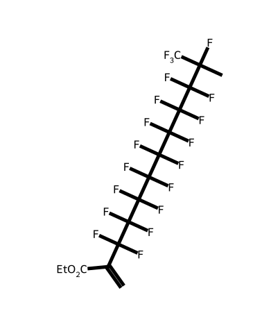 C=C(C(=O)OCC)C(F)(F)C(F)(F)C(F)(F)C(F)(F)C(F)(F)C(F)(F)C(F)(F)C(F)(F)C(C)(F)C(F)(F)F